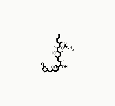 C=C/C=C\C(C)[C@H](OC(N)=O)[C@@H](C)[C@H](O)[C@@H](C)C/C(C)=C\[C@H](C)[C@@H](O)C(C)/C=C\C(O)CC1CCC(=O)O1